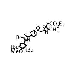 CCOC(=O)Cc1sc(CC(=O)N2CCC(c3nc(-c4cc(C(C)(C)C)c(OC)c(C(C)(C)C)c4)c(Br)s3)CC2)nc1C